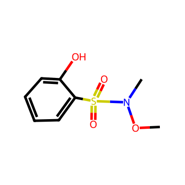 CON(C)S(=O)(=O)c1ccccc1O